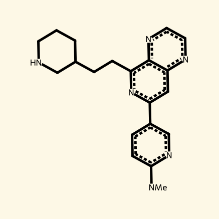 CNc1ccc(-c2cc3nccnc3c(CCC3CCCNC3)n2)cn1